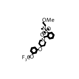 COCCN(C)S(=O)(=O)c1ccccc1C(=O)N1CCC(Oc2cccc(OC(F)(F)F)c2)CC1